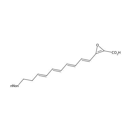 CCCCCCCCCCCC=CC=CC=CC=CC1=C(C(=O)O)O1